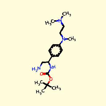 CN(C)CCN(C)c1ccc(C(CN)NC(=O)OC(C)(C)C)cc1